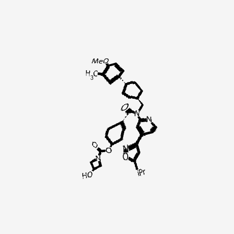 COc1ccc([C@H]2CC[C@H](CN(c3cc(-c4cc(C(C)C)on4)ccn3)C(=O)[C@H]3CC[C@H](OC(=O)N4CC(O)C4)CC3)CC2)cc1C